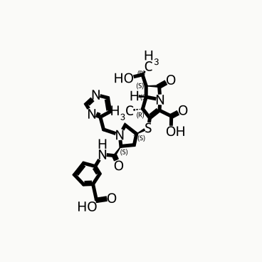 C[C@@H](O)[C@H]1C(=O)N2C(C(=O)O)=C(S[C@H]3C[C@@H](C(=O)Nc4cccc(C(=O)O)c4)N(Cc4ccncn4)C3)[C@H](C)[C@H]12